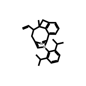 C=CC1Cc2cn(-c3c(C(C)C)cccc3C(C)C)c(n2)-c2cccc3c2C1(C)C3